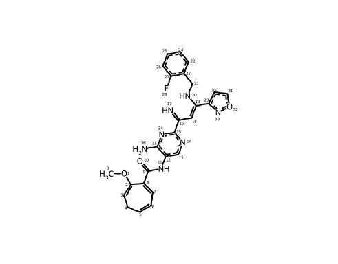 COC1=CCC=CC=C1C(=O)Nc1cnc(C(=N)/C=C(\NCc2ccccc2F)c2ccon2)nc1N